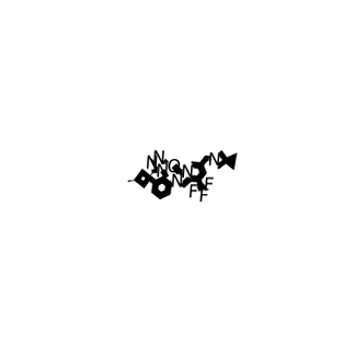 Cn1cnnc1[C@]1(c2cccc(-n3cc4c(C(F)(F)F)cc(CN5CC6(CC6)C5)cn4c3=O)c2)C[C@H](C)C1